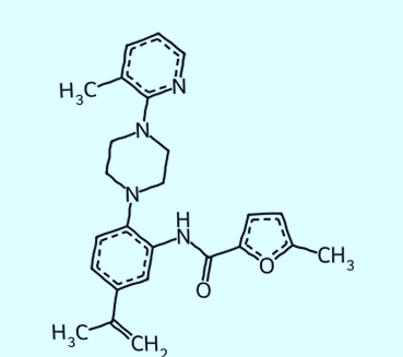 C=C(C)c1ccc(N2CCN(c3ncccc3C)CC2)c(NC(=O)c2ccc(C)o2)c1